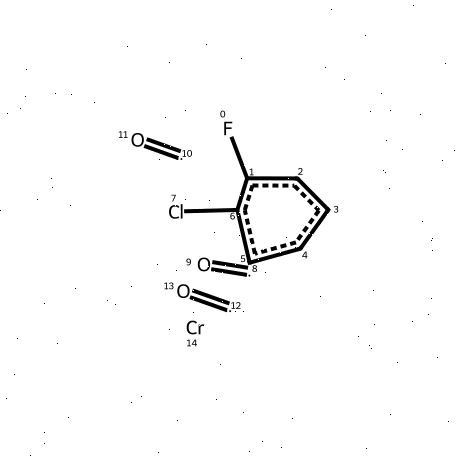 Fc1ccccc1Cl.[C]=O.[C]=O.[C]=O.[Cr]